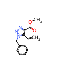 C=Cc1c(C(=O)OC)nnn1Cc1ccccc1